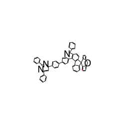 c1ccc(-c2cc(-c3ccc(-c4ccc5c(c4)nc(-c4ccccc4)c4ccc6c(c45)-c4ccccc4C64c5ccccc5Oc5ccccc54)cc3)nc(-c3ccccc3)n2)cc1